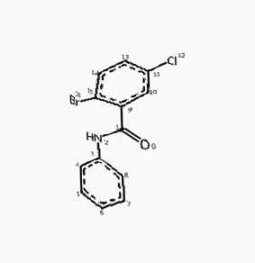 O=C(Nc1ccccc1)c1cc(Cl)ccc1Br